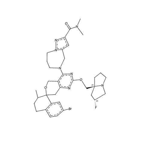 CC1CCc2ccc(Br)cc2C12Cc1nc(OC[C@@]34CCCN3C[C@H](F)C4)nc(N3CCCn4nc(C(=O)N(C)C)cc4C3)c1CO2